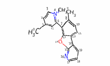 Cc1cc[n+](C)c(-c2c(C)ccc3c2oc2ncccc23)c1